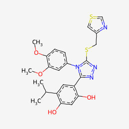 COc1ccc(-n2c(SCc3cscn3)nnc2-c2cc(C(C)C)c(O)cc2O)cc1OC